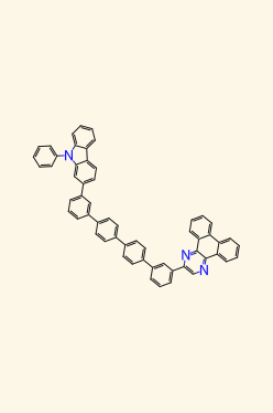 c1ccc(-n2c3ccccc3c3ccc(-c4cccc(-c5ccc(-c6ccc(-c7cccc(-c8cnc9c%10ccccc%10c%10ccccc%10c9n8)c7)cc6)cc5)c4)cc32)cc1